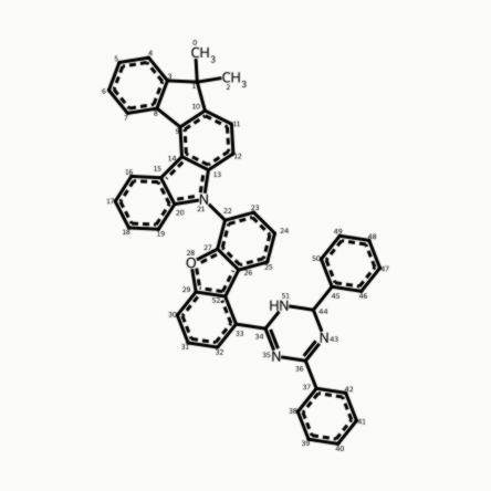 CC1(C)c2ccccc2-c2c1ccc1c2c2ccccc2n1-c1cccc2c1oc1cccc(C3=NC(c4ccccc4)=NC(c4ccccc4)N3)c12